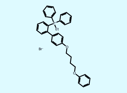 CC[P+](c1ccccc1)(c1ccccc1)c1ccccc1-c1ccc(OCCCCOc2ccccc2)cc1.[Br-]